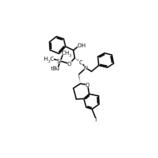 CC(C)(C)[Si](C)(C)O[C@@H](CN(Cc1ccccc1)C[C@H]1CCc2cc(I)ccc2O1)C(O)c1ccccc1